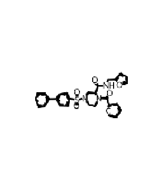 O=C(NCc1ccco1)C1CN(S(=O)(=O)c2ccc(-c3ccccc3)cc2)CCN1C(=O)c1ccccc1